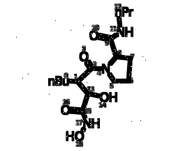 CCCCC(C(=O)N1CCCC1C(=O)NCCC)C(O)C(=O)NO